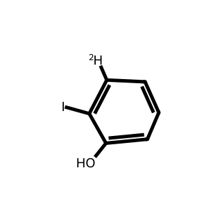 [2H]c1cccc(O)c1I